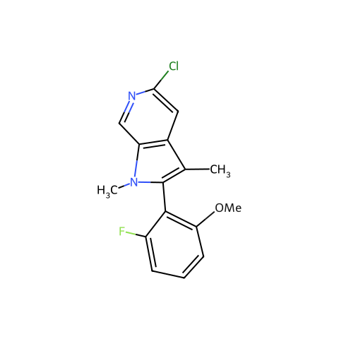 COc1cccc(F)c1-c1c(C)c2cc(Cl)ncc2n1C